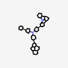 c1ccc(-c2ccc(N(c3ccc(-c4cc5ccc6cccc7ccc(c4)c5c67)cc3)c3ccc(-c4ccc5c6cccc7c8ccccc8n(c5c4)c76)cc3)cc2)cc1